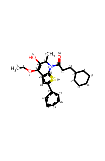 CCOC1=C(O)C(C)N(C(=O)CCC2CCCCC2)c2sc(-c3ccccc3)cc21